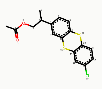 CC(=O)OCC(C)c1ccc2c(c1)Sc1cc(Cl)ccc1S2